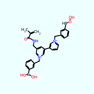 C=C(C)C(=O)NCc1cc(-c2ccc[n+](Cc3cccc(BOO)c3)c2)c[n+](Cc2cccc(B(O)O)c2)c1